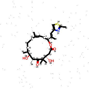 C/C1=C/C[C@@H](/C(C)=C/c2csc(C)n2)OC(=O)C[C@H](O)C(C)(C)C(=O)[C@H](C)[C@@H](O)C(C)CCC1